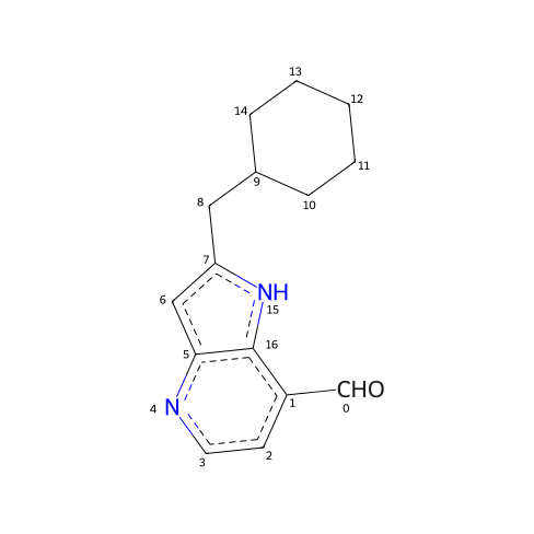 O=Cc1ccnc2cc(CC3CCCCC3)[nH]c12